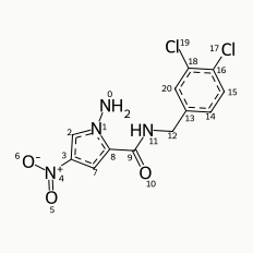 Nn1cc([N+](=O)[O-])cc1C(=O)NCc1ccc(Cl)c(Cl)c1